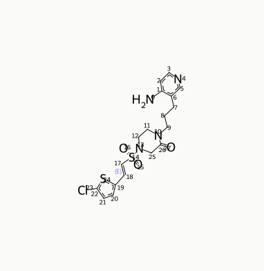 Nc1ccncc1CCCN1CCN(S(=O)(=O)/C=C/c2ccc(Cl)s2)CC1=O